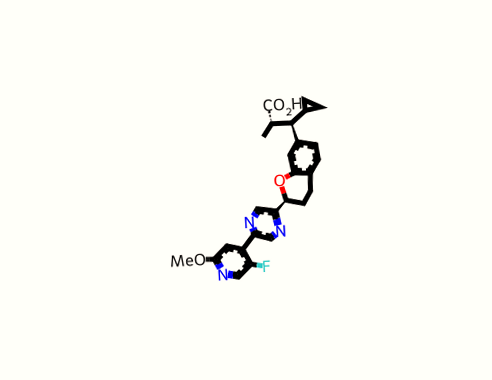 COc1cc(-c2cnc([C@@H]3CCc4ccc([C@H](C5CC5)[C@H](C)C(=O)O)cc4O3)cn2)c(F)cn1